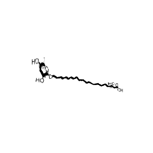 C[C@@H]1O[C@@H](OCCCCCCCCCCCCCCCCCC[C@@H](O)CC(=O)O)[C@H](O)C[C@H]1O